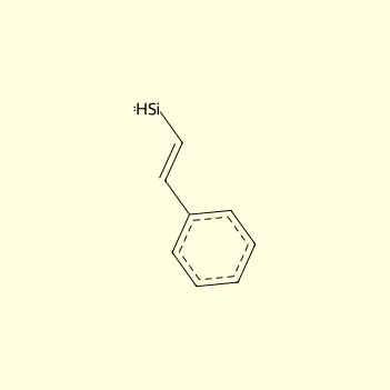 [SiH]C=Cc1ccccc1